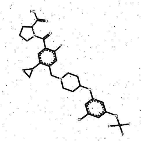 O=C(O)C1CCCN1C(=O)c1cc(C2CC2)c(CN2CCC(Oc3cc(Cl)cc(OC(F)(F)F)c3)CC2)cc1F